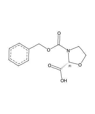 O=C(O)[C@H]1OCCN1C(=O)OCc1ccccc1